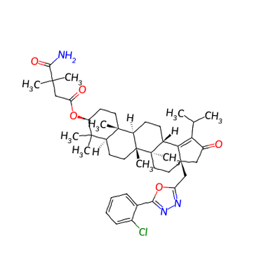 CC(C)C1=C2[C@H]3CC[C@@H]4[C@@]5(C)CC[C@H](OC(=O)CC(C)(C)C(N)=O)C(C)(C)[C@@H]5CC[C@@]4(C)[C@]3(C)CC[C@@]2(Cc2nnc(-c3ccccc3Cl)o2)CC1=O